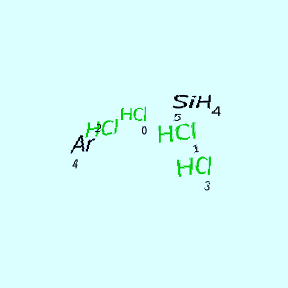 Cl.Cl.Cl.Cl.[Ar].[SiH4]